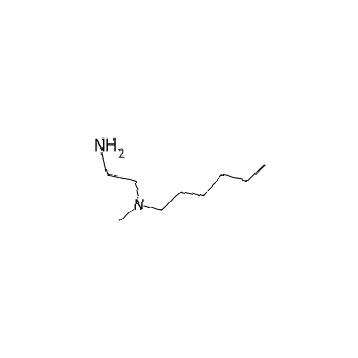 CCCCCCN(C)CCN